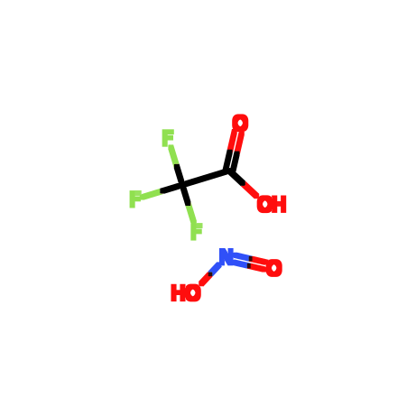 O=C(O)C(F)(F)F.O=NO